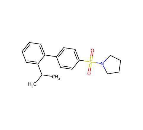 CC(C)c1ccccc1-c1ccc(S(=O)(=O)N2CCCC2)cc1